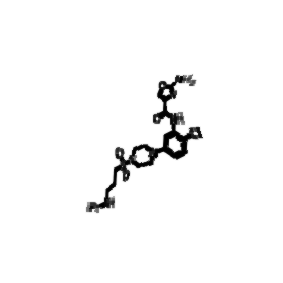 CC(C)NCCCS(=O)(=O)N1CCN(c2ccc(Cl)c(NC(=O)c3coc(N)n3)c2)CC1